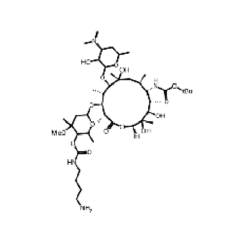 CC[C@H]1OC(=O)[C@H](C)[C@@H](OC2CC(C)(OC)C(OC(=O)NCCCCN)C(C)O2)[C@H](C)[C@@H](OC2OC(C)CC(N(C)C)C2O)[C@](C)(O)C[C@@H](C)[C@H](NC(=O)OC(C)(C)C)[C@H](C)[C@@H](O)[C@]1(C)O